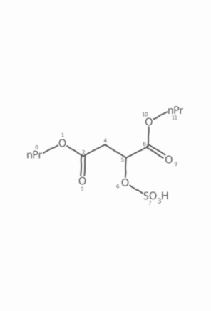 CCCOC(=O)CC(OS(=O)(=O)O)C(=O)OCCC